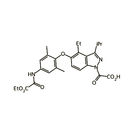 CCOC(=O)C(=O)Nc1cc(C)c(Oc2ccc3c(c(C(C)C)nn3C(=O)C(=O)O)c2CC)c(C)c1